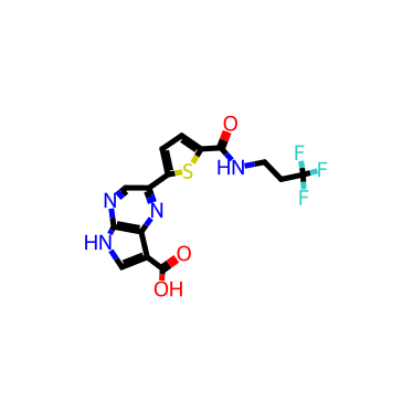 O=C(NCCC(F)(F)F)c1ccc(-c2cnc3[nH]cc(C(=O)O)c3n2)s1